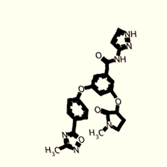 Cc1noc(-c2ccc(Oc3cc(OC4CCN(C)C4=O)cc(C(=O)Nc4cc[nH]n4)c3)cc2)n1